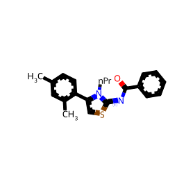 CCCn1c(-c2ccc(C)cc2C)cs/c1=N/C(=O)c1ccccc1